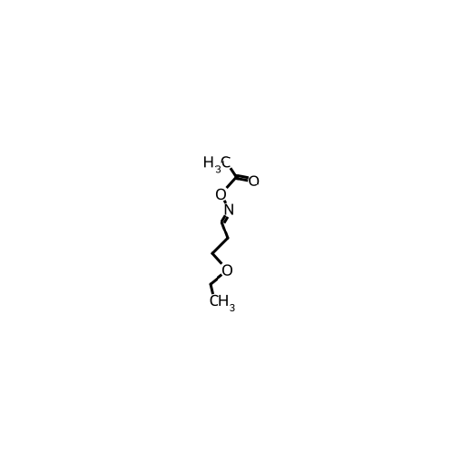 CCOCCC=NOC(C)=O